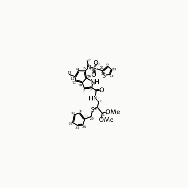 COC(OC)C(CNC(=O)c1cc2cc(C)cc(N(C)S(=O)(=O)c3cccs3)c2[nH]1)SCc1ccccc1